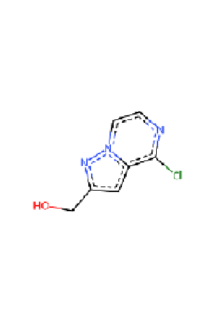 OCc1cc2c(Cl)nccn2n1